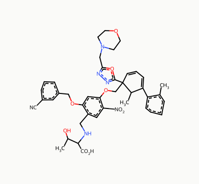 Cc1ccccc1C1=CC=CC(COc2cc(OCc3cccc(C#N)c3)c(CNC(C(=O)O)C(C)O)cc2[N+](=O)[O-])(c2nnc(CN3CCOCC3)o2)C1C